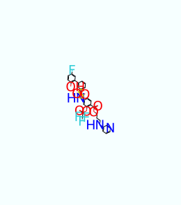 O=C(OCCCNc1cccnc1)c1ccc(NS(=O)(=O)c2cccc(-c3cc(F)ccc3O)c2)cc1OC(=O)C(F)(F)F